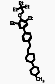 CCc1cc(-c2ccc(CCC3CCC(C4CCC(C)CC4)CC3)cc2)cc(CC)c1OCC(CC)(CC)CC